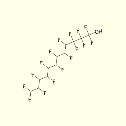 OC(F)(F)C(F)(F)C(F)(F)C(F)C(F)C(F)C(F)C(F)C(F)C(F)C(F)C(F)F